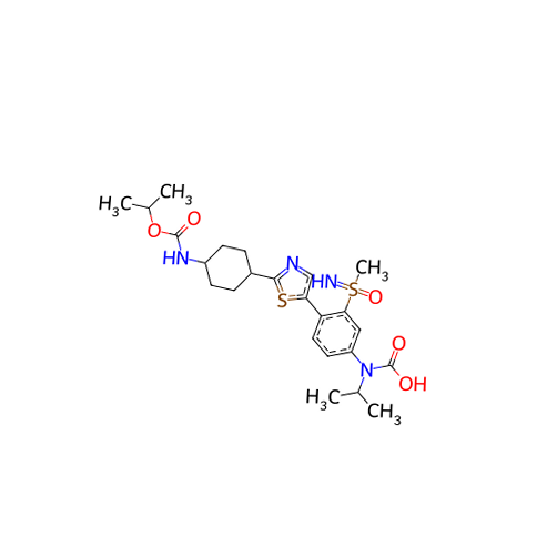 CC(C)OC(=O)NC1CCC(c2ncc(-c3ccc(N(C(=O)O)C(C)C)cc3S(C)(=N)=O)s2)CC1